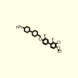 CCCC1CCC(C2CCC(COc3ccc(-c4ccc(OCC)c(Cl)c4F)cc3F)CC2)CC1